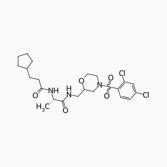 C[C@H](NC(=O)CCC1CCCC1)C(=O)NCC1CN(S(=O)(=O)c2ccc(Cl)cc2Cl)CCO1